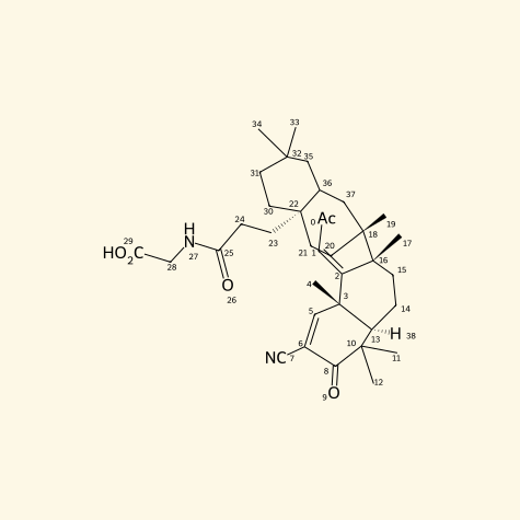 CC(=O)/C=C1/[C@@]2(C)C=C(C#N)C(=O)C(C)(C)[C@@H]2CC[C@@]1(C)[C@]1(C)CC[C@@]2(CCC(=O)NCC(=O)O)CCC(C)(C)CC2C1